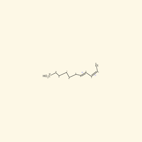 CC/C=C\C=C\CCCCCC(=O)O